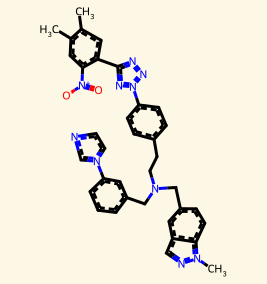 Cc1cc(-c2nnn(-c3ccc(CCN(Cc4cccc(-n5ccnc5)c4)Cc4ccc5c(cnn5C)c4)cc3)n2)c([N+](=O)[O-])cc1C